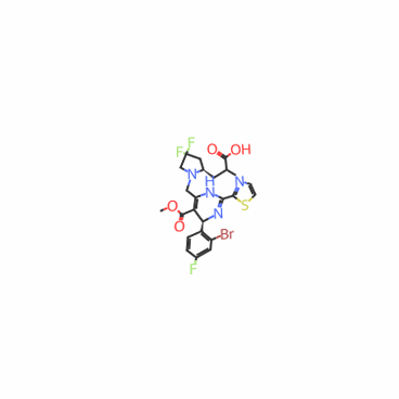 COC(=O)C1=C(CN2CC(F)(F)C[C@H]2CC(C)C(=O)O)NC(c2nccs2)=N[C@H]1c1ccc(F)cc1Br